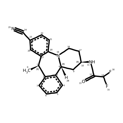 C[C@@H]1c2ccccc2[C@H]2C[C@H](NC(=O)C(F)F)CCN2c2ccc(C#N)cc21